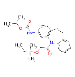 CCC(C)(C)OCC(=O)N1c2ccccc2CCc2ccc(NC(=O)OC(C)C)cc21